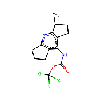 CC1CCc2c1nc1c(c2NC(=O)OC(Cl)(Cl)Cl)CCC1